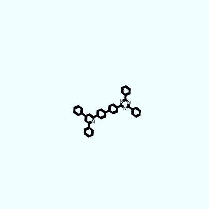 c1ccc(-c2cc(-c3ccccc3)nc(-c3ccc(-c4ccc(-c5nc(-c6ccccc6)nc(-c6ccccc6)n5)cc4)cc3)c2)cc1